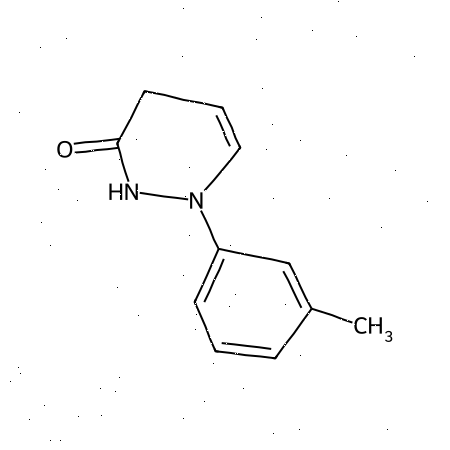 Cc1cccc(N2C=CCC(=O)N2)c1